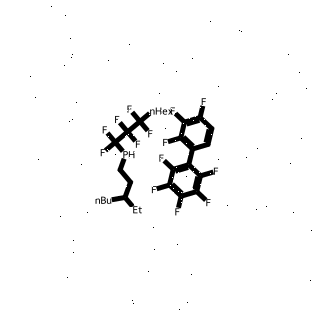 CCCCCCC(F)(F)C(F)(F)C(F)(F)PCCC(CC)CCCC.Fc1ccc(-c2c(F)c(F)c(F)c(F)c2F)c(F)c1F